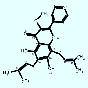 COc1c(-c2ccncc2)oc2c(CC=C(C)C)c(O)c(CC=C(C)C)c(O)c2c1=O